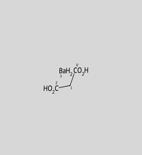 O=C(O)CC(=O)O.[BaH2]